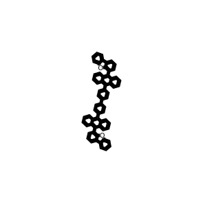 c1ccc2c(c1)oc1c(-c3c4ccccc4c(-c4ccc(-c5ccc(-c6c7ccccc7c(-c7cccc8c7oc7ccccc78)c7ccccc67)cc5)cc4)c4ccccc34)cccc12